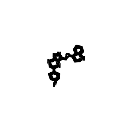 Fc1ccc(-c2cnc3nnc(COc4ccnc5ccccc45)n3n2)cc1